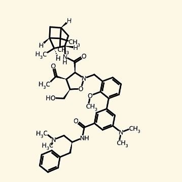 COc1c(CN2O[C@@H](CO)[C@@H](C(C)=O)[C@H]2C(=O)N[C@H]2C[C@H]3C[C@@H]([C@@H]2C)C3(C)C)cccc1-c1cc(C(=O)N[C@@H](Cc2ccccc2)CN(C)C)cc(N(C)C)c1